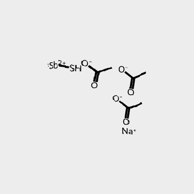 CC(=O)[O-].CC(=O)[O-].CC(=O)[O-].[Na+].[SH][Sb+2]